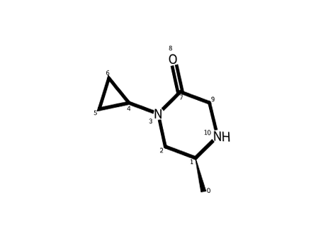 C[C@H]1CN(C2CC2)C(=O)CN1